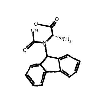 C[C@@H](C(=O)Cl)N(C(=O)O)C1c2ccccc2-c2ccccc21